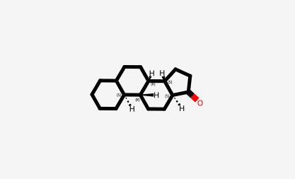 O=C1CC[C@H]2[C@@H]3CCC4CCCC[C@@H]4[C@H]3CC[C@H]12